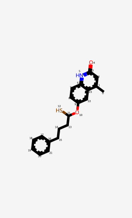 Cc1cc(=O)[nH]c2ccc(OC(S)CCCc3ccccc3)cc12